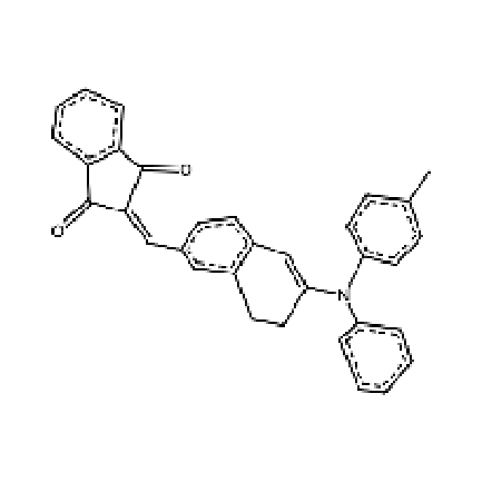 Cc1ccc(N(C2=Cc3ccc(C=C4C(=O)c5ccccc5C4=O)cc3CC2)c2ccccc2)cc1